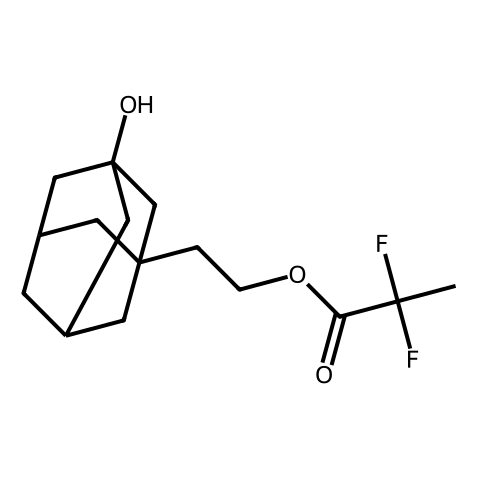 CC(F)(F)C(=O)OCCC12CC3CC(CC(O)(C3)C1)C2